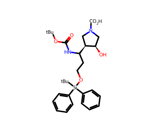 CC(C)(C)OC(=O)NC(CCO[Si](c1ccccc1)(c1ccccc1)C(C)(C)C)[C@H]1CN(C(=O)O)C[C@H]1O